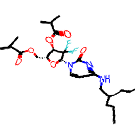 CCCC(CCC)CNc1ccn([C@@H]2O[C@H](COC(=O)C(C)C)[C@@H](OC(=O)C(C)C)C2(F)F)c(=O)n1